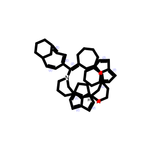 C1=C\C2CCC/C(=C/C=C/1C1=C3CCC[C@H](C3)C(C3=C\C=C4\CCC(/C=C\3)C4)=C3CCCN(C3)C(/C3=C/C=C4\CCCC(/C=C\3)C4)=C3/CCCCC1C3)C2